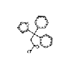 O=C(Cl)CC(c1ccccc1)(c1ccccc1)c1cccs1